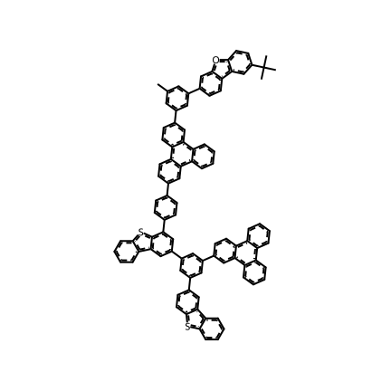 Cc1cc(-c2ccc3c(c2)oc2ccc(C(C)(C)C)cc23)cc(-c2ccc3c4ccc(-c5ccc(-c6cc(-c7cc(-c8ccc9sc%10ccccc%10c9c8)cc(-c8ccc9c%10ccccc%10c%10ccccc%10c9c8)c7)cc7c6sc6ccccc67)cc5)cc4c4ccccc4c3c2)c1